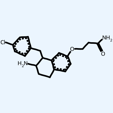 NC(=O)CCOc1ccc2c(c1)C(Cc1ccc(Cl)cc1)C(N)CC2